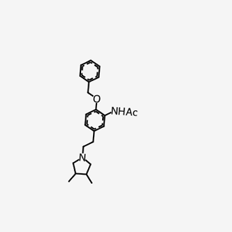 CC(=O)Nc1cc(CCN2CC(C)C(C)C2)ccc1OCc1ccccc1